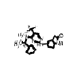 C[C@H](c1ccccc1)N(C)c1nc(Nc2ccc3c(c2)CC(=O)N3)ncc1C(F)(F)F